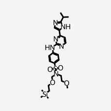 COCCN(COCC[Si](C)(C)C)S(=O)(=O)c1ccc(Nc2nccc(-c3cnc(C(C)C)[nH]3)n2)cc1